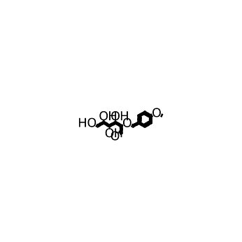 COc1ccc(CO[C@@H](C=O)[C@@H](O)[C@H](O)[C@H](O)CO)cc1